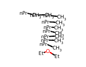 CCCC.CCCC.CCCC.CCCC.CCCC.CCCC.CCCC.CCCC.CCCC.CCOCC